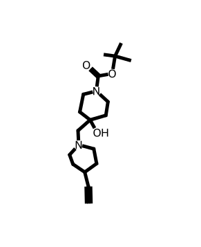 C#CC1CCN(CC2(O)CCN(C(=O)OC(C)(C)C)CC2)CC1